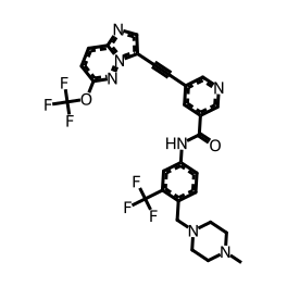 CN1CCN(Cc2ccc(NC(=O)c3cncc(C#Cc4cnc5ccc(OC(F)(F)F)nn45)c3)cc2C(F)(F)F)CC1